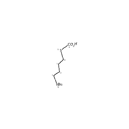 CCCCCCCCSC(=O)O